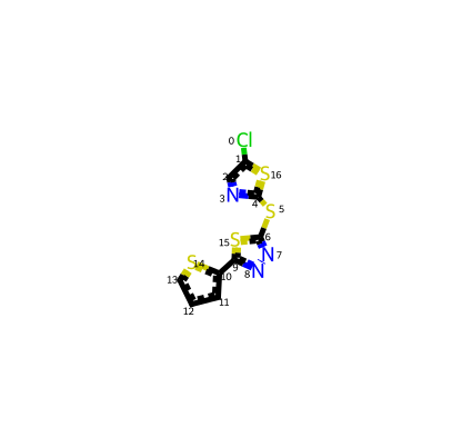 Clc1cnc(Sc2nnc(-c3cccs3)s2)s1